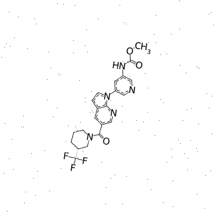 COC(=O)Nc1cncc(-n2ccc3cc(C(=O)N4CCC[C@@H](C(F)(F)F)C4)cnc32)c1